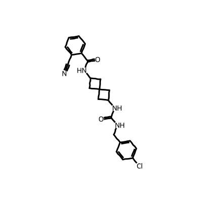 N#Cc1ccccc1C(=O)NC1CC2(CC(NC(=O)NCc3ccc(Cl)cc3)C2)C1